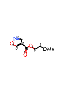 COCCOC(=O)c1cnoc1